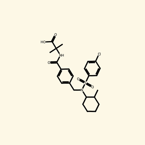 CC1CCCCC1N(Cc1ccc(C(=O)NC(C)(C)C(=O)O)cc1)S(=O)(=O)c1ccc(Cl)cc1